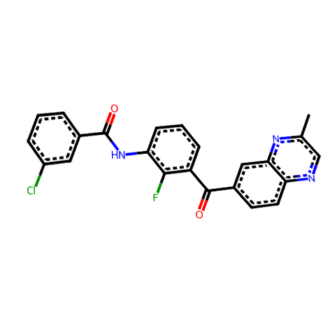 Cc1cnc2ccc(C(=O)c3cccc(NC(=O)c4cccc(Cl)c4)c3F)cc2n1